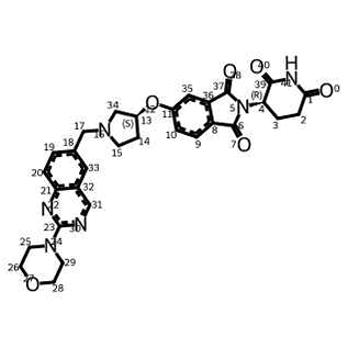 O=C1CC[C@@H](N2C(=O)c3ccc(O[C@H]4CCN(Cc5ccc6nc(N7CCOCC7)ncc6c5)C4)cc3C2=O)C(=O)N1